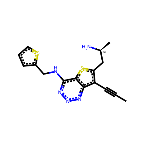 CC#Cc1c(C[C@H](C)N)sc2c(NCc3cccs3)nnnc12